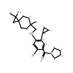 CC1(COc2cc(F)c(C(=O)N3CCCC3)cc2C2CC2)CCC2(CC1)CC2(C)F